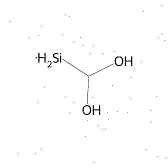 OC(O)[SiH2]